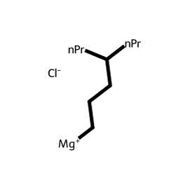 CCCC(CCC)CC[CH2][Mg+].[Cl-]